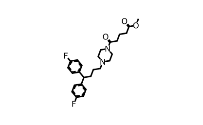 COC(=O)CCCC(=O)N1CCN(CCCC(c2ccc(F)cc2)c2ccc(F)cc2)CC1